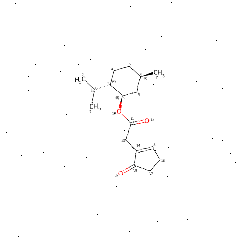 CC(C)[C@@H]1CC[C@@H](C)C[C@H]1OC(=O)CC1=CCCC1=O